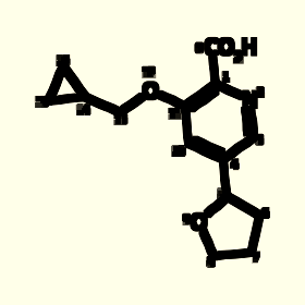 O=C(O)c1ncc(C2CCCO2)cc1OCC1CC1